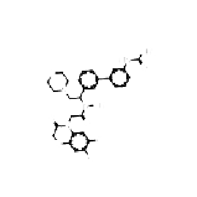 CC(=O)Nc1cccc(-c2cccc(C(CN3CCOCC3)N(C)C(=O)CN3C(=O)COc4cc(Cl)c(Cl)cc43)c2)c1